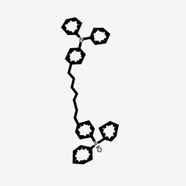 O=P(c1ccccc1)(c1ccccc1)c1ccc(CCCCCCCc2ccc(N(c3ccccc3)c3ccccc3)cc2)cc1